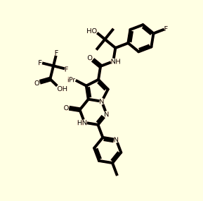 Cc1ccc(-c2nn3cc(C(=O)NC(c4ccc(F)cc4)C(C)(C)O)c(C(C)C)c3c(=O)[nH]2)nc1.O=C(O)C(F)(F)F